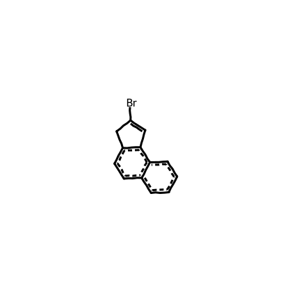 BrC1=Cc2c(ccc3ccccc23)C1